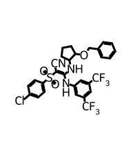 N#CC(=C(Nc1cc(C(F)(F)F)cc(C(F)(F)F)c1)NC1CCCC1OCc1ccccc1)S(=O)(=O)c1ccc(Cl)cc1